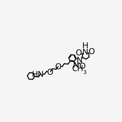 Cn1c(=O)n(C2CCC(=O)NC2=O)c2cccc(CCCOCCOCCNCC3CCCCC3)c21